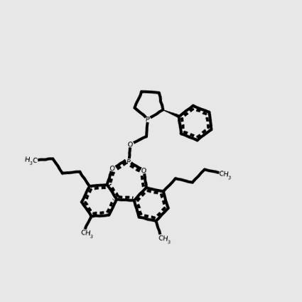 CCCCc1cc(C)cc2c1op(OCP1CCC[C@H]1c1ccccc1)oc1c(CCCC)cc(C)cc12